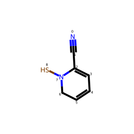 N#CC1=CC=CCN1S